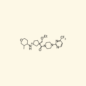 CCOC[C@]1(C(=O)N2CCN(c3nccc(C(F)(F)F)n3)CC2)CC[C@@H](NC2CCOCC2C)C1